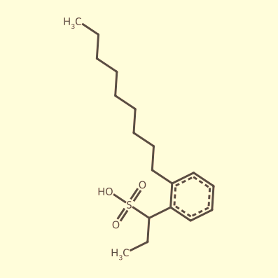 CCCCCCCCCc1ccccc1C(CC)S(=O)(=O)O